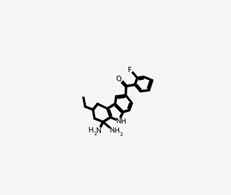 CCC1Cc2c([nH]c3ccc(C(=O)c4ccccc4F)cc23)C(N)(N)C1